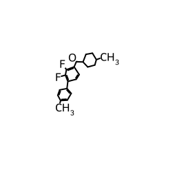 Cc1ccc(-c2ccc(C(=O)C3CCC(C)CC3)c(F)c2F)cc1